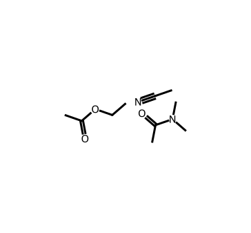 CC#N.CC(=O)N(C)C.CCOC(C)=O